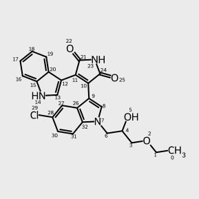 CCOCC(O)Cn1cc(C2=C(c3c[nH]c4ccccc34)C(=O)NC2=O)c2cc(Cl)ccc21